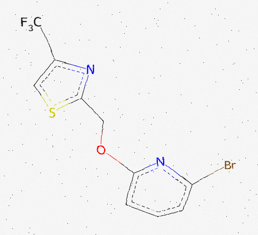 FC(F)(F)c1csc(COc2cccc(Br)n2)n1